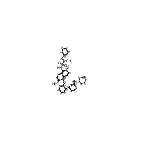 Cc1ccc2c(NS(=O)(=O)N(C)Cc3ccccc3)c(F)ccc2c1Oc1ncccc1-c1ccnc(N[C@H]2CCCNC2)n1